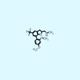 CNCC1Cc2cc(C(F)(F)F)cc(-c3ccc(OC)cc3OC)c2O1